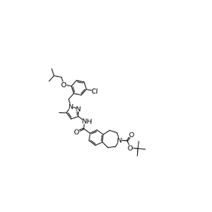 Cc1cc(NC(=O)c2ccc3c(c2)CCN(C(=O)OC(C)(C)C)CC3)nn1Cc1cc(Cl)ccc1OCC(C)C